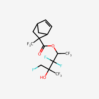 O=C(OC(C(F)(F)F)C(F)(F)C(O)(CF)C(F)(F)F)C1(C(F)(F)F)CC2C=CC1C2